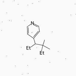 [CH2]CC(c1ccncc1)C(C)(C)CC